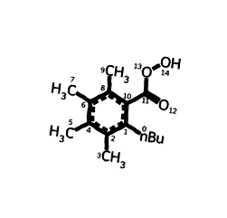 CCCCc1c(C)c(C)c(C)c(C)c1C(=O)OO